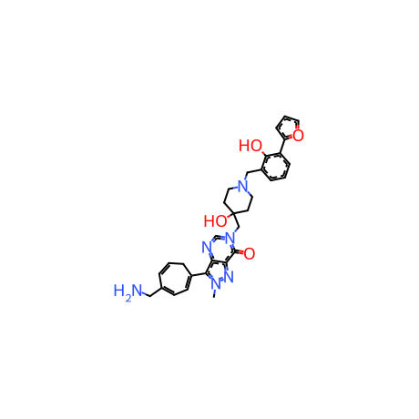 Cn1nc2c(=O)n(CC3(O)CCN(Cc4cccc(-c5ccco5)c4O)CC3)cnc2c1C1=CC=C(CN)C=CC1